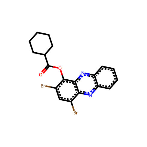 O=C(Oc1c(Br)cc(Br)c2nc3ccccc3nc12)C1CCCCC1